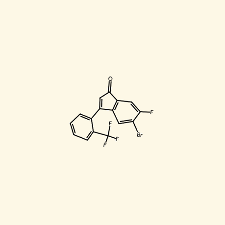 O=C1C=C(c2ccccc2C(F)(F)F)c2cc(Br)c(F)cc21